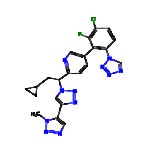 Cn1nncc1-c1cn(C(CC2CC2)c2ccc(-c3c(-n4cnnn4)ccc(Cl)c3F)cn2)nn1